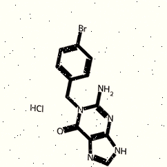 Cl.Nc1nc2[nH]cnc2c(=O)n1Cc1ccc(Br)cc1